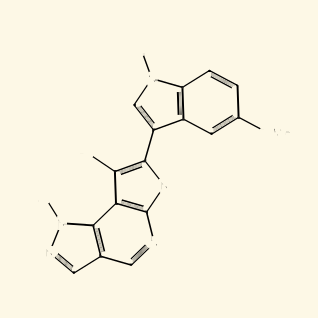 CCc1c(-c2cn(C)c3ccc(OC)cc23)[nH]c2ncc3cnn(C)c3c12